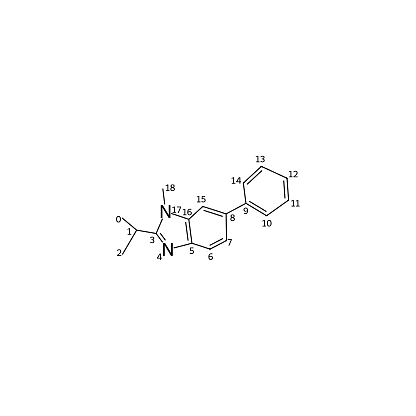 CC(C)c1nc2ccc(-c3ccccc3)cc2n1C